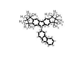 CC1(C)c2cc3c4cc5c(cc4n(-c4ccc6oc7ccccc7c6c4)c3cc2C(C)(C)C1(C)C)C(C)(C)C(C)(C)C5(C)C